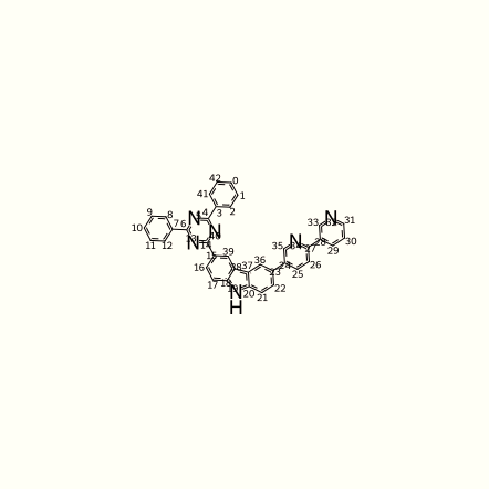 c1ccc(-c2nc(-c3ccccc3)nc(-c3ccc4[nH]c5ccc(-c6ccc(-c7cccnc7)nc6)cc5c4c3)n2)cc1